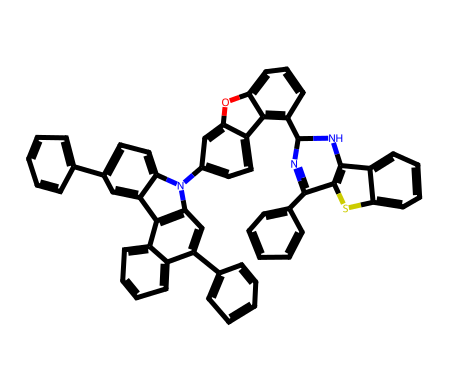 c1ccc(C2=NC(c3cccc4oc5cc(-n6c7ccc(-c8ccccc8)cc7c7c8ccccc8c(-c8ccccc8)cc76)ccc5c34)Nc3c2sc2ccccc32)cc1